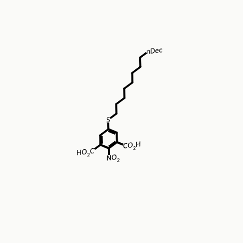 CCCCCCCCCCCCCCCCCCSc1cc(C(=O)O)c([N+](=O)[O-])c(C(=O)O)c1